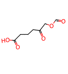 O=COCC(=O)CCCC(=O)O